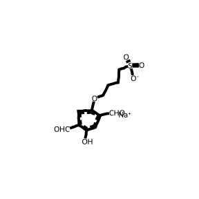 O=Cc1cc(OCCCCS(=O)(=O)[O-])c(C=O)cc1O.[Na+]